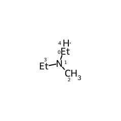 CCN(C)CC.[H]